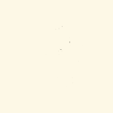 CCCCCOC(=O)C(C(=O)c1c(OC)cccc1OC)c1ccccc1.O=P